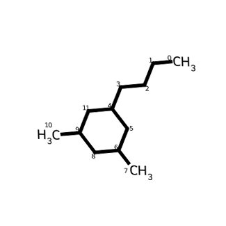 CCCCC1CC(C)CC(C)C1